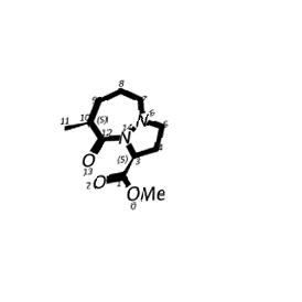 COC(=O)[C@@H]1CCN2CCC[C@H](C)C(=O)N12